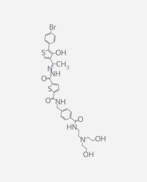 C/C(=N\NC(=O)c1ccc(C(=O)NCc2ccc(C(=O)NCCN(CCO)CCO)cc2)s1)c1csc(-c2ccc(Br)cc2)c1O